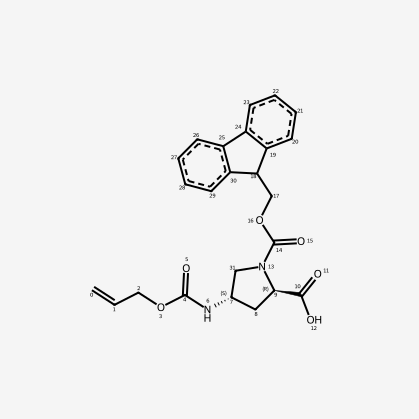 C=CCOC(=O)N[C@H]1C[C@H](C(=O)O)N(C(=O)OCC2c3ccccc3-c3ccccc32)C1